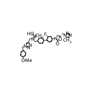 COc1ccc(Cn2cc(CN(Cc3ccc(-c4ccc(N5C[C@H](Cn6nncc6C)OC5=O)cc4F)cc3)B(C)O)nn2)cc1